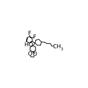 CCCCCC1CCC(c2cccc(F)c2F)(C2(O)CCC3(CC2)OCCO3)CC1